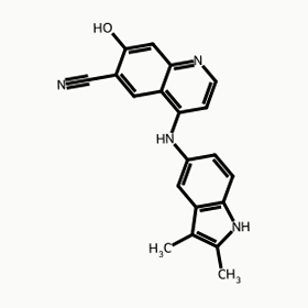 Cc1[nH]c2ccc(Nc3ccnc4cc(O)c(C#N)cc34)cc2c1C